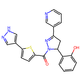 O=C(c1ccc(-c2cn[nH]c2)s1)N1N=C(c2cccnc2)CC1c1ccccc1O